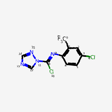 FC(F)(F)c1cc(Cl)ccc1N=C(Cl)n1cncn1